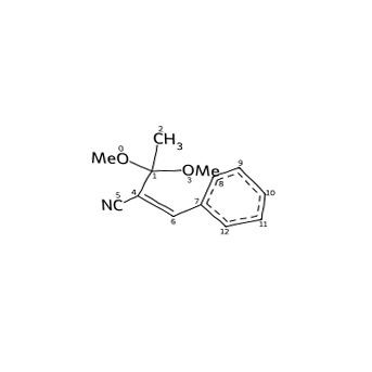 COC(C)(OC)C(C#N)=Cc1ccccc1